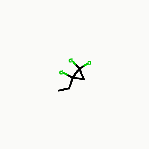 CCC1(Cl)CC1(Cl)Cl